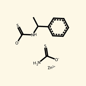 CC(NC([O-])=S)c1ccccc1.NC([O-])=S.[Zn+2]